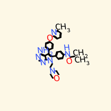 C=C(C)C(=O)Nc1ccc(-c2c(-c3ccc(Oc4cccc(C)n4)cc3)c3c(N)ncnc3n2CCN2CCOCC2)cc1